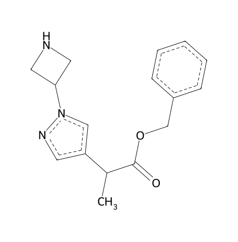 CC(C(=O)OCc1ccccc1)c1cnn(C2CNC2)c1